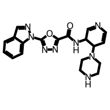 O=C(NC1C=NC=CC1N1CCNCC1)c1nnc(-n2ncc3ccccc32)o1